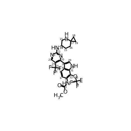 COC(=O)Nc1ccc2c(-c3nc(N[C@H]4CCC5(CC5)NC4)ncc3C(F)(F)F)c[nH]c2c1OC(F)(F)F